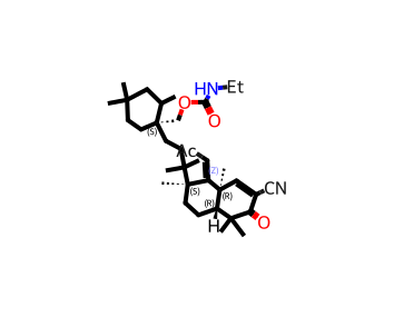 CCNC(=O)OC[C@]1(CCC(C)(C)[C@]2(C)CC[C@H]3C(C)(C)C(=O)C(C#N)=C[C@]3(C)/C2=C/C(C)=O)CCC(C)(C)CC1C